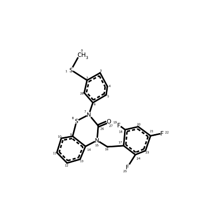 CSc1cccc(N2Sc3ccccc3N(Cc3c(F)cc(F)cc3F)C2=O)c1